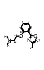 Cc1noc(-c2ccccc2OCCN(C)C)n1